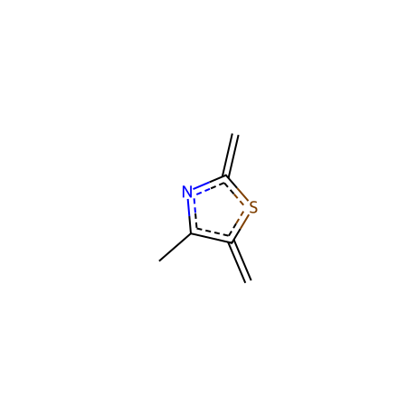 C=c1nc(C)c(=C)s1